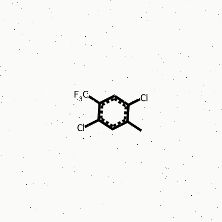 Cc1cc(Cl)c(C(F)(F)F)cc1Cl